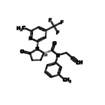 C#CCN(C(=O)[C@@H]1CCC(=O)N1c1cc(C(F)(F)F)cc(C)n1)c1cccc(C)c1